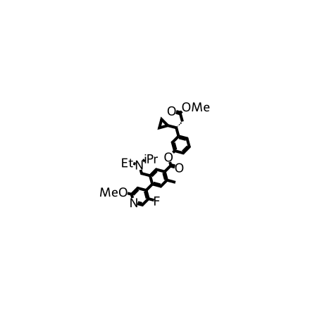 CCN(Cc1cc(C(=O)Oc2cccc([C@@H](CC(=O)OC)C3CC3)c2)c(C)cc1-c1cc(OC)ncc1F)C(C)C